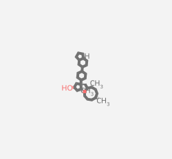 CC1CC[C@@H](C)CCCCC1C[C@]1(C2CCC(C3CC[C@H]4CCCC4C3)CC2)CC(O)C[C@@H]1C